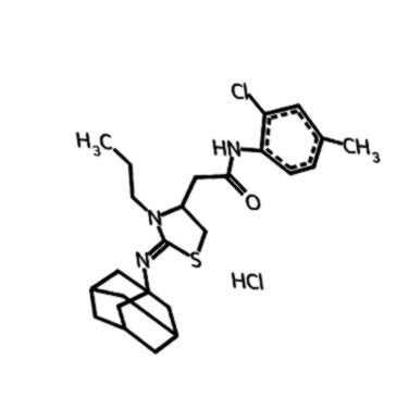 CCCN1C(=NC23CC4CC(CC(C4)C2)C3)SCC1CC(=O)Nc1ccc(C)cc1Cl.Cl